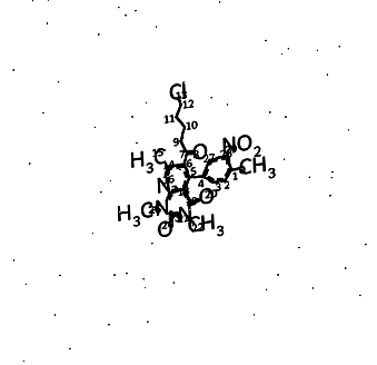 Cc1ccc(-c2c(C(=O)CCCCCl)c(C)nc3c2c(=O)n(C)c(=O)n3C)cc1[N+](=O)[O-]